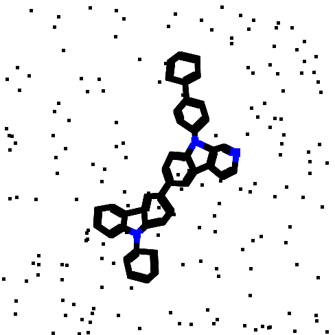 c1ccc(-c2ccc(-n3c4ccc(-c5ccc6c(c5)c5ccccc5n6-c5ccccc5)cc4c4ccncc43)cc2)cc1